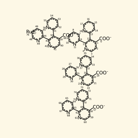 O=C([O-])c1ccnc(-c2ccccn2)c1-c1ccccn1.O=C([O-])c1ccnc(-c2ccccn2)c1-c1ccccn1.O=C([O-])c1ccnc(-c2ccccn2)c1-c1ccccn1.O=C([O-])c1ccnc(-c2ccccn2)c1-c1ccccn1.[Ru+4]